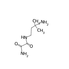 CC(C)(N)CCNC(=O)C(N)=O